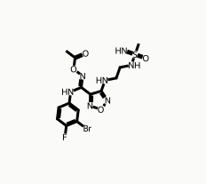 CC(=O)O/N=C(\Nc1ccc(F)c(Br)c1)c1nonc1NCCNS(C)(=N)=O